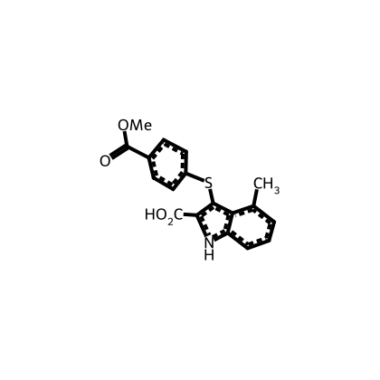 COC(=O)c1ccc(Sc2c(C(=O)O)[nH]c3cccc(C)c23)cc1